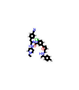 CCN1CCC(NCC(Cc2ccc(C#N)cc2)NC(=O)c2cc(-c3ccc(CNC(C)c4ccc(C)cc4)o3)ccc2Cl)CC1